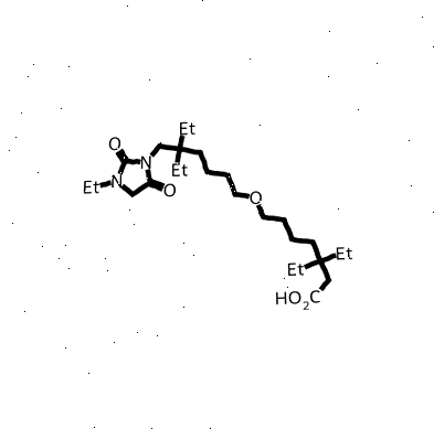 CCN1CC(=O)N(CC(CC)(CC)CCCCOCCCCC(CC)(CC)CC(=O)O)C1=O